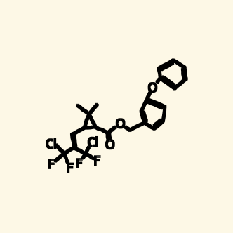 CC1(C)C(C=C(C(F)(F)Cl)C(F)(F)Cl)C1C(=O)OCc1cccc(Oc2ccccc2)c1